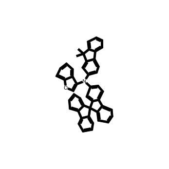 CC1(C)c2ccccc2-c2ccc(N(c3ccc4c(c3)C3(c5ccccc5-c5ccccc53)c3ccccc3-4)c3coc4ccccc34)cc21